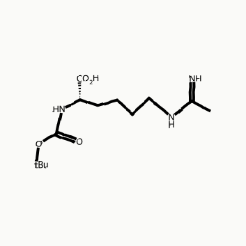 CC(=N)NCCCC[C@H](NC(=O)OC(C)(C)C)C(=O)O